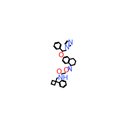 O=C(CO/N=C1/CCCc2cc(OC(Cn3ccnc3)c3ccccc3)ccc21)NCC1(c2ccccc2)CCC1